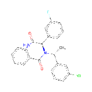 C[C@H](c1cccc(Cl)c1)N(C(=O)c1ccccc1)[C@@H](C(N)=O)c1cccc(F)c1